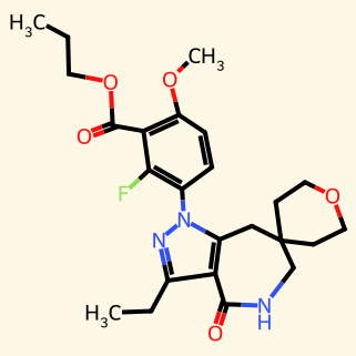 CCCOC(=O)c1c(OC)ccc(-n2nc(CC)c3c2CC2(CCOCC2)CNC3=O)c1F